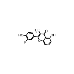 Cc1c(-c2ccc(O)c(F)c2)oc2cccc(O)c2c1=O